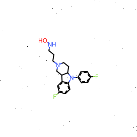 ONCCCN1CCC2C(C1)c1cc(F)ccc1N2c1ccc(F)cc1